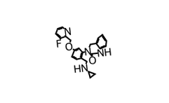 O=C1Nc2ccccc2CN1c1cc(OCc2ncccc2F)ccc1CNC1CC1